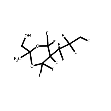 OCC1(C(F)(F)F)OC(F)(F)C(F)(C(F)(F)C(F)(F)CF)C(F)(F)O1